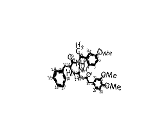 COc1cccc([C@H](C)NC(=O)[C@H](Cc2ccccc2)NC(=N)NC(=O)Cc2ccc(OC)c(OC)c2)c1